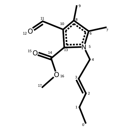 CCC=CCn1c(C)c(C)c(C=O)c1C(=O)OC